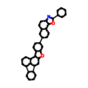 c1ccc(-c2nc3ccc4cc(-c5ccc6c(c5)oc5cc7c8c(cccc8c56)-c5ccccc5-7)ccc4c3o2)cc1